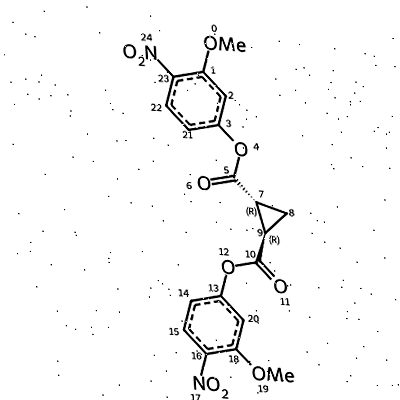 COc1cc(OC(=O)[C@@H]2C[C@H]2C(=O)Oc2ccc([N+](=O)[O-])c(OC)c2)ccc1[N+](=O)[O-]